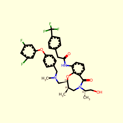 C[C@@H]1CN([C@@H](C)CO)C(=O)c2cccc(NC(=O)Cc3ccc(C(F)(F)F)cc3)c2O[C@@H]1CN(C)Cc1ccc(Oc2cc(F)cc(F)c2)cc1